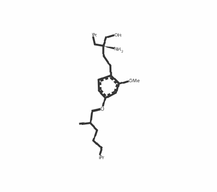 COc1cc(OCC(C)CCCC(C)C)ccc1CC[C@@](N)(CO)CC(C)C